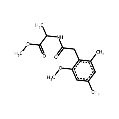 COC(=O)C(C)NC(=O)Cc1c(C)cc(C)cc1OC